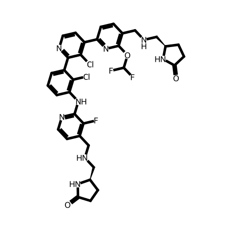 O=C1CC[C@H](CNCc2ccc(-c3ccnc(-c4cccc(Nc5nccc(CNC[C@H]6CCC(=O)N6)c5F)c4Cl)c3Cl)nc2OC(F)F)N1